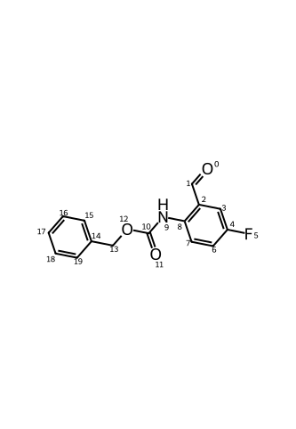 O=Cc1cc(F)ccc1NC(=O)OCc1ccccc1